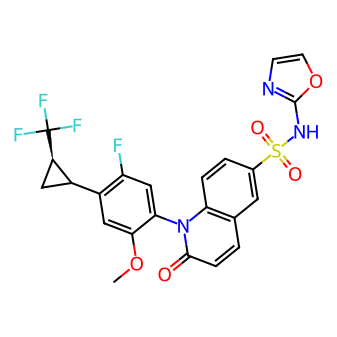 COc1cc(C2C[C@H]2C(F)(F)F)c(F)cc1-n1c(=O)ccc2cc(S(=O)(=O)Nc3ncco3)ccc21